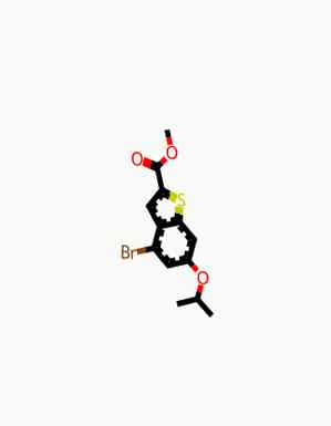 COC(=O)c1cc2c(Br)cc(OC(C)C)cc2s1